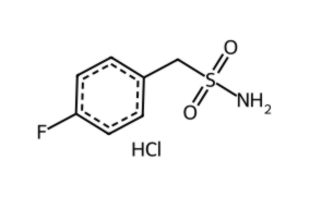 Cl.NS(=O)(=O)Cc1ccc(F)cc1